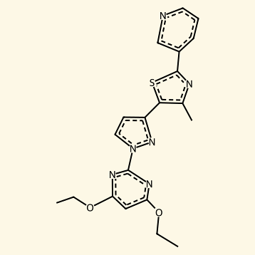 CCOc1cc(OCC)nc(-n2ccc(-c3sc(-c4cccnc4)nc3C)n2)n1